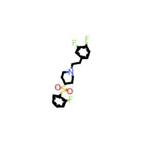 O=S(=O)(c1ccccc1F)C1CCN(CCc2ccc(F)c(F)c2)CC1